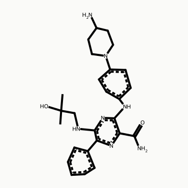 CC(C)(O)CNc1nc(Nc2ccc(N3CCC(N)CC3)cc2)c(C(N)=O)nc1-c1ccccc1